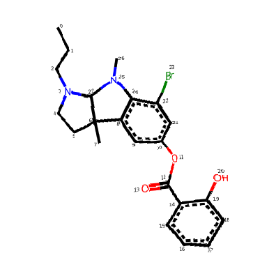 CCCN1CCC2(C)c3cc(OC(=O)c4ccccc4O)cc(Br)c3N(C)C12